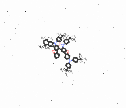 CC(C)(C)c1ccc(N2B3c4cc(C(C)(C)C)ccc4-n4c5cc6c(cc5c5c7oc8ccccc8c7c(c3c54)-c3cc4c(cc32)oc2cc(N(c3ccc(C(C)(C)C)cc3)c3ccc(C(C)(C)C)cc3)ccc24)C(C)(C)CCC6(C)C)cc1